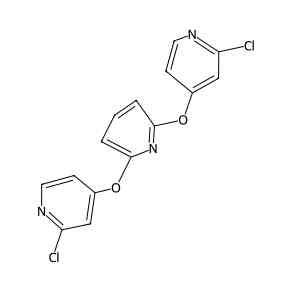 Clc1cc(Oc2cccc(Oc3ccnc(Cl)c3)n2)ccn1